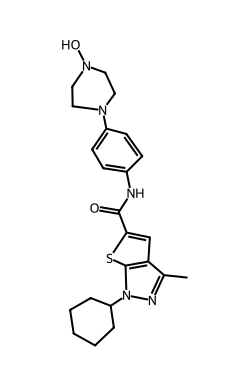 Cc1nn(C2CCCCC2)c2sc(C(=O)Nc3ccc(N4CCN(O)CC4)cc3)cc12